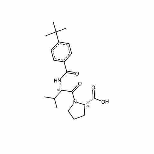 CC(C)[C@H](NC(=O)c1ccc(C(C)(C)C)cc1)C(=O)N1CCC[C@H]1C(=O)O